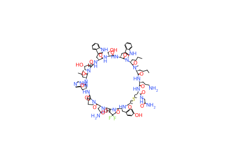 CCCC[C@H]1C(=O)N(C)[C@@H](CCCC)C(=O)N[C@@H](CCCN)C(=O)N[C@H](C(=O)NCC(N)=O)CSCC(=O)N[C@@H](Cc2ccc(O)cc2)C(=O)N2CC(F)(F)C[C@H]2C(=O)N[C@@H](CC(N)=O)C(=O)N2CCC[C@H]2C(=O)N[C@@H](Cc2cnc[nH]2)C(=O)N[C@@H](CC(C)C)C(=O)N2C[C@H](O)C[C@H]2C(=O)N[C@@H](Cc2c[nH]c3ccccc23)C(=O)N[C@@H](CO)C(=O)N[C@@H](Cc2c[nH]c3ccccc23)C(=O)N1C